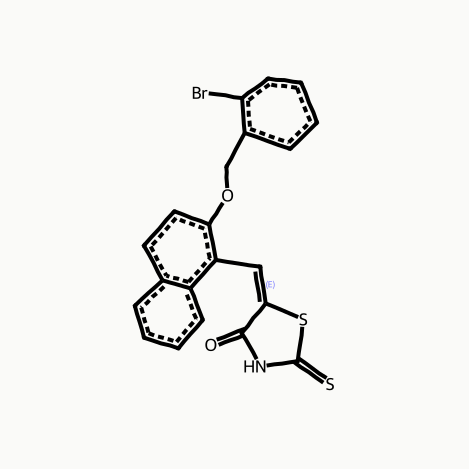 O=C1NC(=S)S/C1=C/c1c(OCc2ccccc2Br)ccc2ccccc12